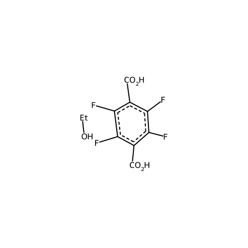 CCO.O=C(O)c1c(F)c(F)c(C(=O)O)c(F)c1F